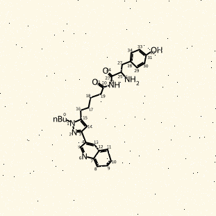 CCCCn1nc(-c2cnc3ccccc3c2)cc1CCCCC(=O)NC(=O)C(N)Cc1ccc(O)cc1